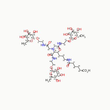 C[C@@H]1O[C@@H](OCCNC(=O)CN(CC(=O)NCCO[C@@H]2O[C@@H](C)[C@@H](O)[C@@H](O)[C@@H]2O)C(CCCCNC(=O)CCCCC(=O)O)C(=O)NCCO[C@@H]2O[C@@H](C)[C@@H](O)[C@@H](O)[C@@H]2O)[C@@H](O)[C@H](O)[C@@H]1O